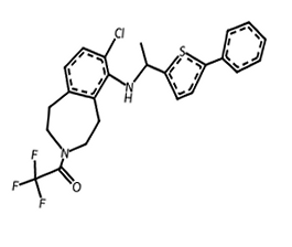 CC(Nc1c(Cl)ccc2c1CCN(C(=O)C(F)(F)F)CC2)c1ccc(-c2ccccc2)s1